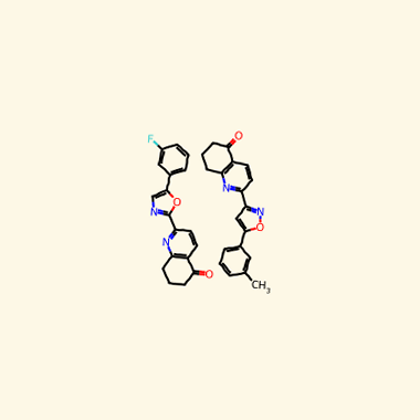 Cc1cccc(-c2cc(-c3ccc4c(n3)CCCC4=O)no2)c1.O=C1CCCc2nc(-c3ncc(-c4cccc(F)c4)o3)ccc21